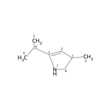 CC1C=C(C(C)C)NC1